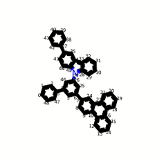 c1ccc(-c2cc(-c3ccc4c5ccccc5c5ccccc5c4c3)cc(-n3c4ccccc4c4cc(-c5ccccc5)ccc43)c2)cc1